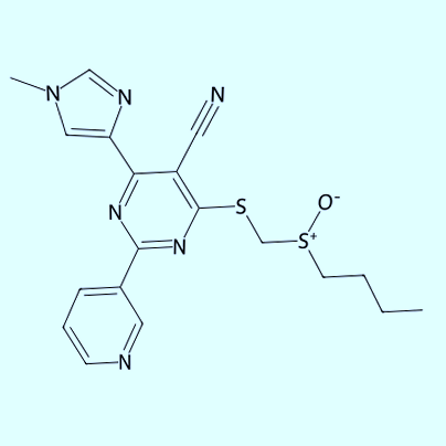 CCCC[S+]([O-])CSc1nc(-c2cccnc2)nc(-c2cn(C)cn2)c1C#N